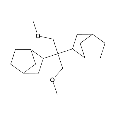 COCC(COC)(C1CC2CCC1C2)C1CC2CCC1C2